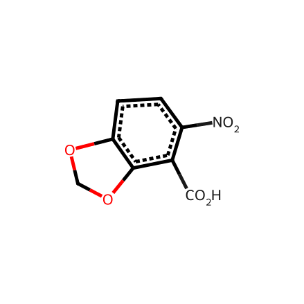 O=C(O)c1c([N+](=O)[O-])ccc2c1OCO2